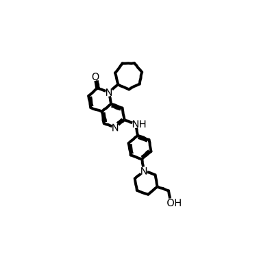 O=c1ccc2cnc(Nc3ccc(N4CCCC(CO)C4)cc3)cc2n1C1CCCCCC1